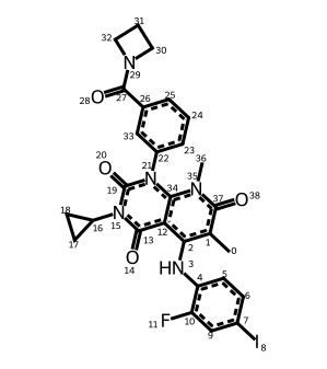 Cc1c(Nc2ccc(I)cc2F)c2c(=O)n(C3CC3)c(=O)n(-c3cccc(C(=O)N4CCC4)c3)c2n(C)c1=O